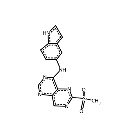 CS(=O)(=O)c1ncc2ncnc(Nc3ccc4[nH]ccc4c3)c2n1